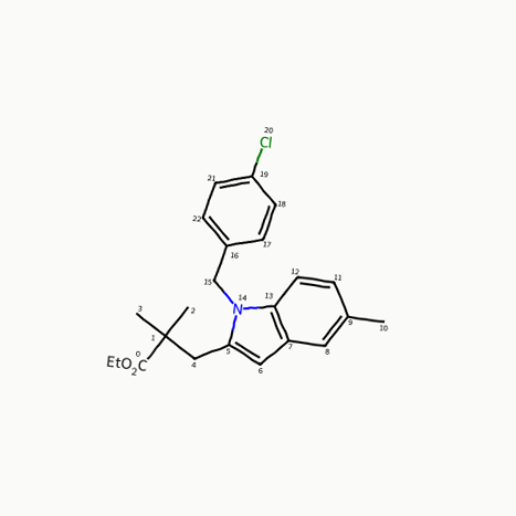 CCOC(=O)C(C)(C)Cc1cc2cc(C)ccc2n1Cc1ccc(Cl)cc1